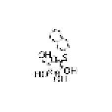 OC[C@H]1O[C@@H](Sc2ccc3ccccc3c2)[C@H](O)[C@@H](O)[C@H]1O